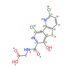 O=C(O)CNC(=O)c1nc(Cl)c2c(sc3ccc(Cl)nc32)c1O